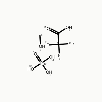 CO.O=C(O)C(F)(F)F.O=P(O)(O)O